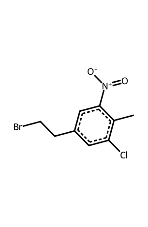 Cc1c(Cl)cc(CCBr)cc1[N+](=O)[O-]